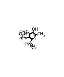 Cc1nc(N=N)c(CP(=O)([O-])[O-])c(C=O)c1O.[Na+].[Na+]